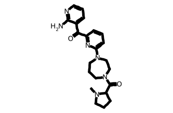 CN1CCCC1C(=O)N1CCCN(c2cccc(C(=O)c3cccnc3N)n2)CC1